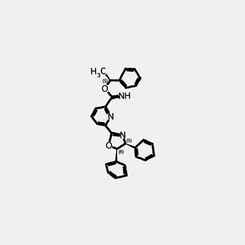 C[C@H](OC(=N)c1cccc(C2=N[C@@H](c3ccccc3)[C@@H](c3ccccc3)O2)n1)c1ccccc1